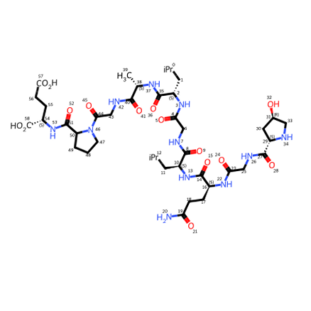 CC(C)C[C@H](NC(=O)CNC(=O)[C@H](CC(C)C)NC(=O)[C@H](CCC(N)=O)NC(=O)CNC(=O)[C@@H]1C[C@@H](O)CN1)C(=O)N[C@@H](C)C(=O)NCC(=O)N1CCCC1C(=O)N[C@@H](CCC(=O)O)C(=O)O